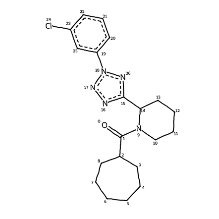 O=C(C1CCCCCC1)N1CCCCC1c1nnn(-c2cccc(Cl)c2)n1